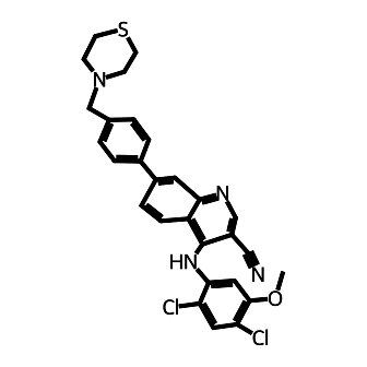 COc1cc(Nc2c(C#N)cnc3cc(-c4ccc(CN5CCSCC5)cc4)ccc23)c(Cl)cc1Cl